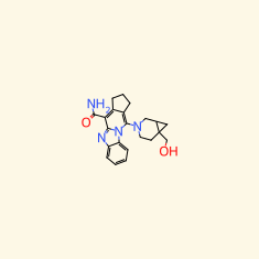 NC(=O)c1c2c(c(N3CCC4(CO)CC4C3)n3c1nc1ccccc13)CCC2